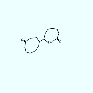 O=C1CCCCCC(C2CCCCCC(=O)NC2)CC1